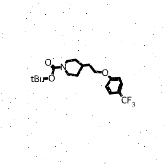 CC(C)(C)OC(=O)N1CCC(CCOc2ccc(C(F)(F)F)cc2)CC1